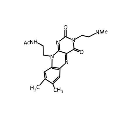 CNCCn1c(=O)nc2n(CCNC(C)=O)c3cc(C)c(C)cc3nc-2c1=O